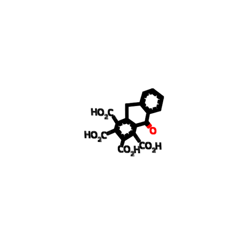 O=C(O)c1c2c(c(C(=O)O)c(C(=O)O)c1C(=O)O)C(=O)c1ccccc1C2